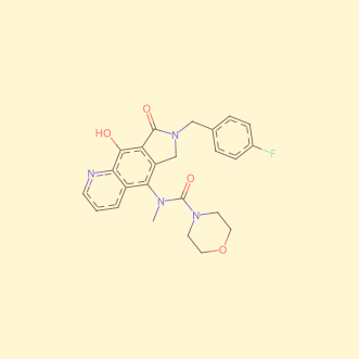 CN(C(=O)N1CCOCC1)c1c2c(c(O)c3ncccc13)C(=O)N(Cc1ccc(F)cc1)C2